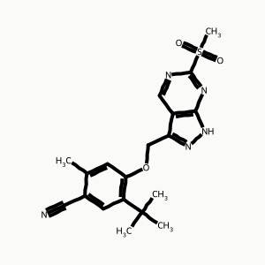 Cc1cc(OCc2n[nH]c3nc(S(C)(=O)=O)ncc23)c(C(C)(C)C)cc1C#N